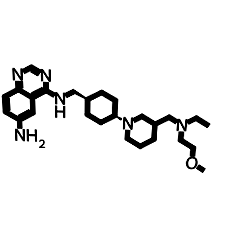 CCN(CCOC)CC1CCCN([C@H]2CC[C@H](CNc3ncnc4ccc(N)cc34)CC2)C1